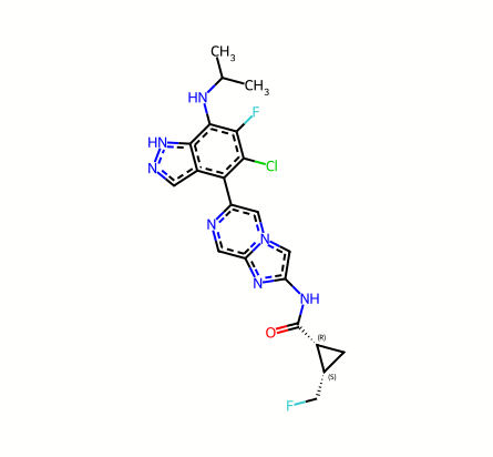 CC(C)Nc1c(F)c(Cl)c(-c2cn3cc(NC(=O)[C@@H]4C[C@@H]4CF)nc3cn2)c2cn[nH]c12